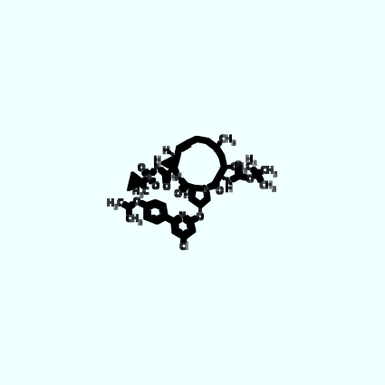 CC(C)Oc1ccc(-c2cc(Cl)cc(O[C@@H]3C[C@H]4C(=O)N[C@]5(C(=O)NS(=O)(=O)C6(C)CC6)C[C@H]5/C=C\CC[C@@H](C)C[C@@H](C)[C@H](NC(=O)OC(C)(C)C)C(=O)N4C3)n2)cc1